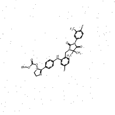 CC(C)(C)OC(=O)ON1CCN=C1c1ccc(Nc2cc(F)ccc2CN2C(=O)N(c3ccc(F)c(C(F)(F)F)c3)C(=O)C2(C)C)cc1